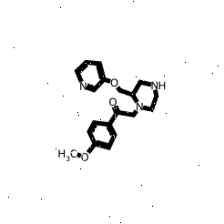 COc1ccc(C(=O)CN2CCNCC2COc2cccnc2)cc1